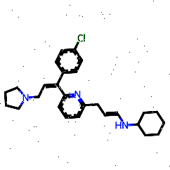 Clc1ccc(C(=CCN2CCCC2)c2cccc(CC=CNC3CCCCC3)n2)cc1